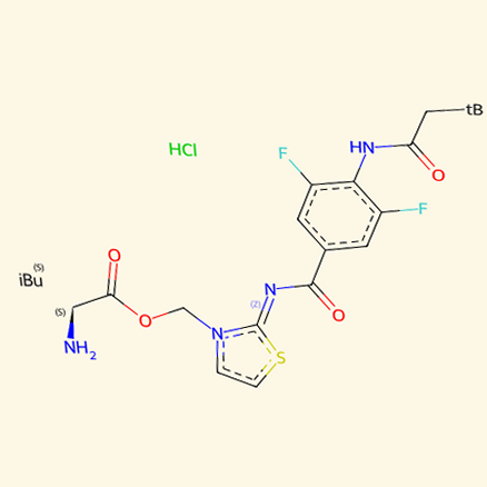 CC[C@H](C)[C@H](N)C(=O)OCn1ccs/c1=N\C(=O)c1cc(F)c(NC(=O)CC(C)(C)C)c(F)c1.Cl